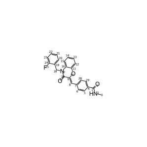 CNC(=O)c1ccc(/C=C2\Oc3ccccc3N(Cc3ccccc3F)C2=O)cc1